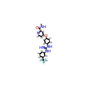 CNC(=O)c1cc(Oc2ccc(NC(=N)Nc3cccc(C(F)(F)F)c3)cc2)ccn1